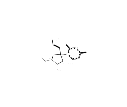 O=C(O)C=C[C@@]1(n2ccc(=O)[nH]c2=O)O[C@H](CO)[C@@H](O)[C@H]1O